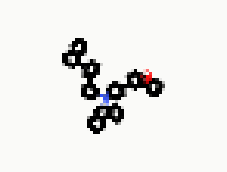 c1cc(-c2cccc(N(c3ccc(-c4ccc5oc6ccccc6c5c4)cc3)c3cc4ccccc4c4ccccc34)c2)cc(-c2cccc3ccccc23)c1